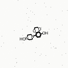 Oc1ccc(N2CCN(O)CC2)c2c1OCCO2